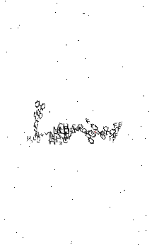 Cc1nc(NCCCCCC(=O)N(C)CCN2CCC(OC(=O)Nc3ccccc3-c3ccccc3)CC2)sc1C(=O)N(C)CCCN(C)C(=O)CO[C@H]1Cc2ccccc2C12CCN(CC[C@]1(c3ccc(F)cc3)CN(C(=O)c3cc(C(F)(F)F)cc(C(F)(F)F)c3)CO1)CC2